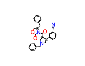 N#Cc1cccc([C@H]2CN(Cc3ccccc3)C[C@@H]2C(=O)N2C(=O)OC[C@@H]2Cc2ccccc2)c1